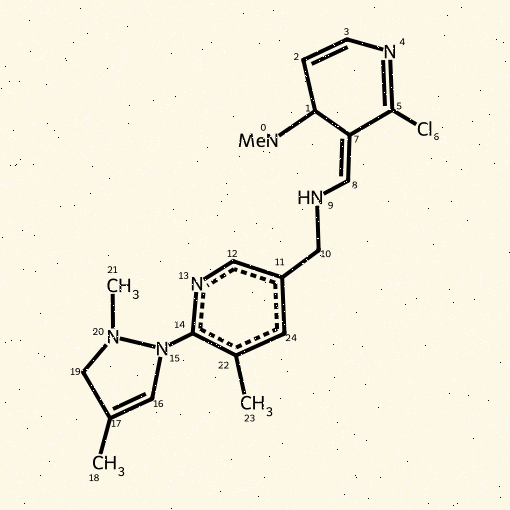 CNC1C=CN=C(Cl)/C1=C/NCc1cnc(N2C=C(C)CN2C)c(C)c1